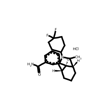 CO[C@@]1(c2cccc(C(N)=O)c2)[C@@H]2CCC[C@H]1CN(C1CCC(F)(F)CC1)C2.Cl